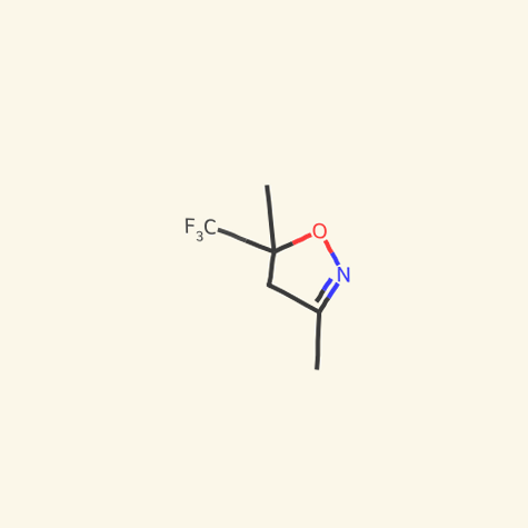 CC1=NOC(C)(C(F)(F)F)C1